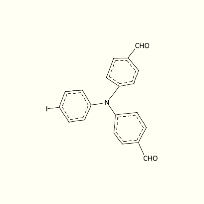 O=Cc1ccc(N(c2ccc(I)cc2)c2ccc(C=O)cc2)cc1